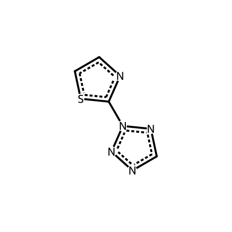 c1csc(-n2ncnn2)n1